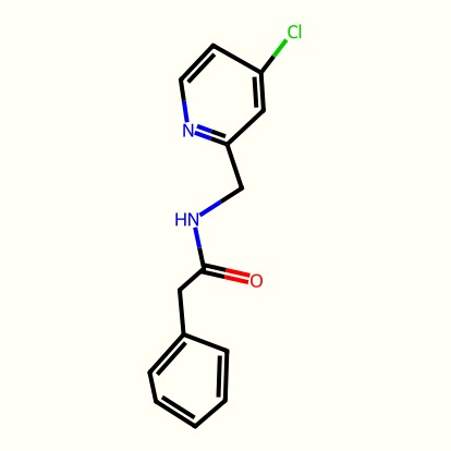 O=C(Cc1ccccc1)NCc1cc(Cl)ccn1